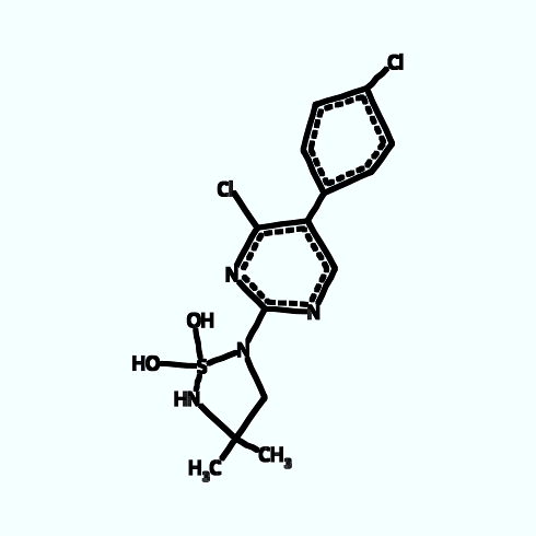 CC1(C)CN(c2ncc(-c3ccc(Cl)cc3)c(Cl)n2)S(O)(O)N1